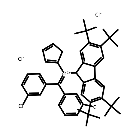 CC(C)(C)c1cc2c(cc1C(C)(C)C)[CH]([Zr+2]([C]1=CC=CC1)=[C](c1cccc(Cl)c1)c1cccc(Cl)c1)c1cc(C(C)(C)C)c(C(C)(C)C)cc1-2.[Cl-].[Cl-]